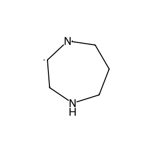 [CH]1CNCCC[N]1